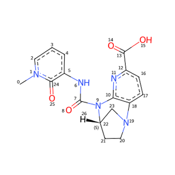 Cn1cccc(NC(=O)N2c3nc(C(=O)O)ccc3N3CC[C@H]2C3)c1=O